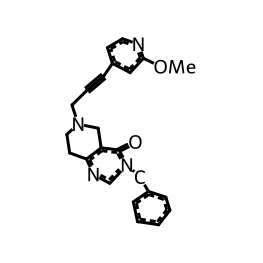 COc1cc(C#CCN2CCc3ncn(Cc4ccccc4)c(=O)c3C2)ccn1